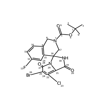 CC(C)(C)OC(=O)N1Cc2ccc(F)cc2C2(C1)NC(=O)c1c(Cl)cc(Br)c(=O)n12